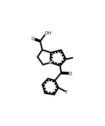 Cc1cc2n(c1C(=O)c1ccccc1F)CCC2C(=O)O